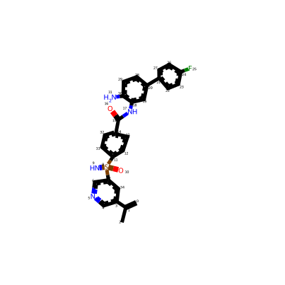 C=C(C)c1cncc(S(=N)(=O)c2ccc(C(=O)Nc3cc(-c4ccc(F)cc4)ccc3N)cc2)c1